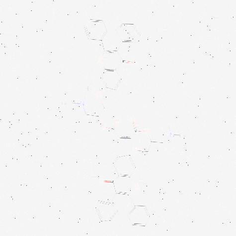 CCCN(C)CC(COc1ccc2c(=O)c(-c3ccccc3)c(-c3ccccc3)oc2c1)OC(=O)/C=C\C(=O)OC(COc1ccc2c(=O)c(-c3ccccc3)c(-c3ccccc3)oc2c1)CN(C)CCC